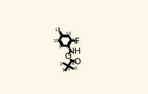 CC(C)(C)C(=O)ONc1ccc(I)cc1F